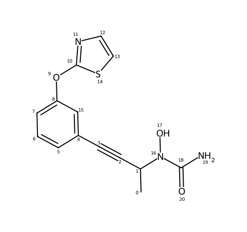 CC(C#Cc1cccc(Oc2nccs2)c1)N(O)C(N)=O